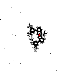 C[C](C)=[Hf]([CH3])([CH3])([CH]1C=Cc2c(-c3cc([Si](C)(C)C)cc([Si](C)(C)C)c3)cccc21)[CH]1C=Cc2c(-c3cc([Si](C)(C)C)cc([Si](C)(C)C)c3)cccc21